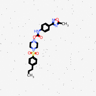 CCCc1ccc(S(=O)(=O)N2CCN(OC(=O)Nc3ccc(-c4noc(C)n4)cc3)CC2)cc1